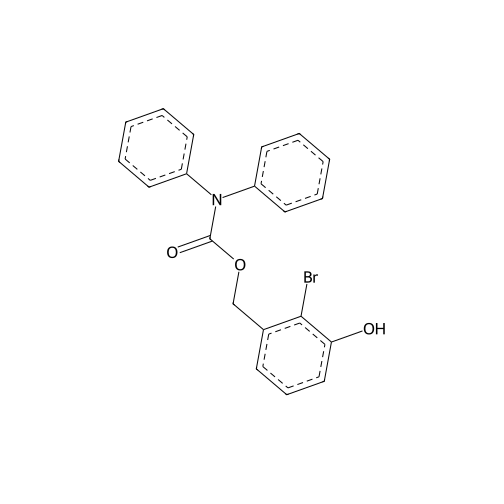 O=C(OCc1cccc(O)c1Br)N(c1ccccc1)c1ccccc1